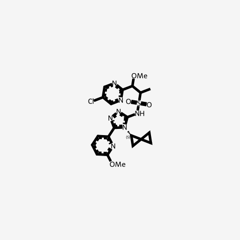 COc1cccc(-c2nnc(NS(=O)(=O)C(C)C(OC)c3ncc(Cl)cn3)n2[C@H]2CC23CC3)n1